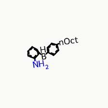 CCCCCCCCc1ccc(Bc2ccccc2N)cc1